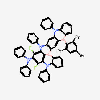 CC(C)c1cc(C(C)C)c(B2c3ccccc3N(c3ccccc3)c3cc4c(cc32)B2c3ccccc3N(c3ccccc3)c3c(F)c(N(c5ccccc5)c5ccccc5)c(F)c(c32)N4c2ccccc2)c(C(C)C)c1